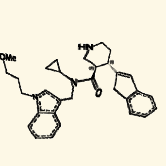 COCCCn1cc(CN(C(=O)[C@H]2CNCC[C@@H]2C2=Cc3ccccc3C2)C2CC2)c2ccccc21